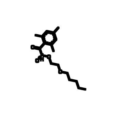 CCCCCOCCO[PH](=O)C(=O)c1c(C)cc(C)cc1C